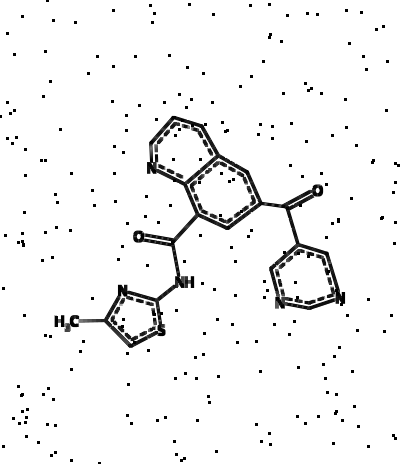 Cc1csc(NC(=O)c2cc(C(=O)c3cncnc3)cc3cccnc23)n1